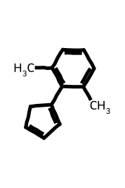 Cc1cccc(C)c1C1=CC=CC1